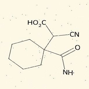 N#CC(C(=O)O)C1(C([NH])=O)CCCCC1